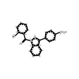 O=C(O)c1ccc(-c2nn(C(=O)c3ccccc3Br)c3ccccc23)cc1